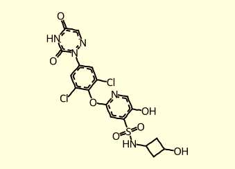 O=c1cnn(-c2cc(Cl)c(Oc3cc(S(=O)(=O)NC4CC(O)C4)c(O)cn3)c(Cl)c2)c(=O)[nH]1